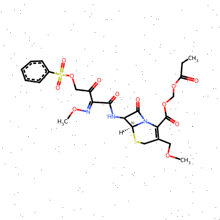 CCC(=O)OCOC(=O)C1=C(COC)CS[C@H]2C(NC(=O)C(=NOC)C(=O)COS(=O)(=O)c3ccccc3)C(=O)N12